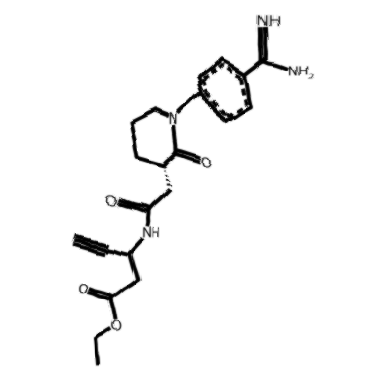 C#CC(CC(=O)OCC)NC(=O)C[C@@H]1CCCN(c2ccc(C(=N)N)cc2)C1=O